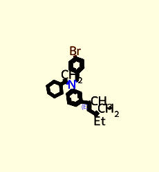 C=C(/C=C(\C)c1cccc(N(Cc2ccc(Br)cc2)C(=C)C2CCCCC2)c1)CC